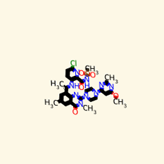 COc1cc(N2CCN(c3nc4c([C@@H](C)Nc5ccc(Cl)nc5C(=O)NS(C)(=O)=O)cc(C)cc4c(=O)n3C)CC2)nc(C)n1